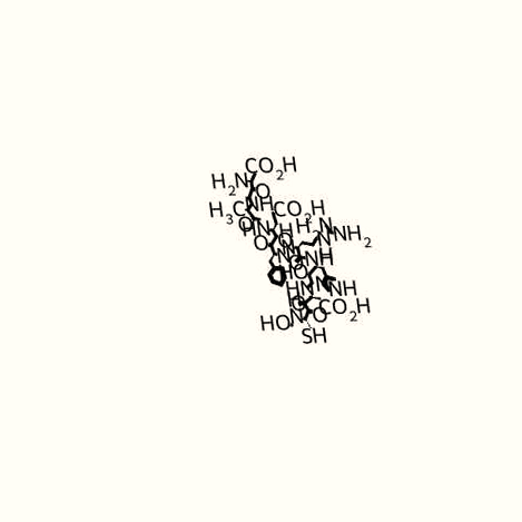 C[C@H](NCC(=O)[C@@H](N)CC(=O)O)C(=O)CN[C@@H](CCC(=O)O)C(=O)C(=O)[C@H](Cc1ccccc1)NN[C@@H](CCCNC(N)N)C(=O)N[C@@H](Cc1c[nH]cn1)C(=O)CN[C@@H](CC(=O)O)C(=O)C(=O)[C@H](CS)NCO